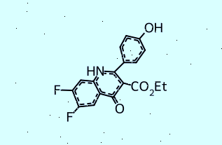 CCOC(=O)c1c(-c2ccc(O)cc2)[nH]c2cc(F)c(F)cc2c1=O